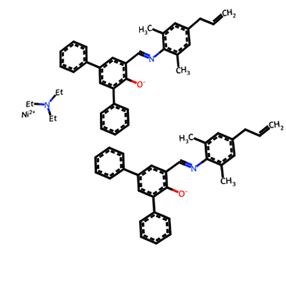 C=CCc1cc(C)c(N=Cc2cc(-c3ccccc3)cc(-c3ccccc3)c2[O-])c(C)c1.C=CCc1cc(C)c(N=Cc2cc(-c3ccccc3)cc(-c3ccccc3)c2[O-])c(C)c1.CCN(CC)CC.[Ni+2]